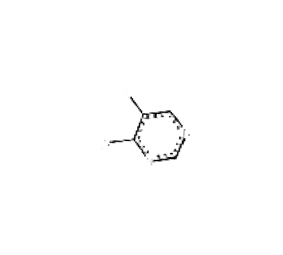 CCc1cncnc1N